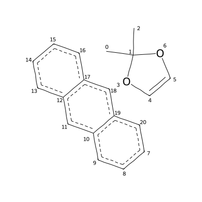 CC1(C)OC=CO1.c1ccc2cc3ccccc3cc2c1